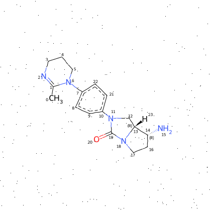 CC1=NCCCN1c1ccc(N2C[C@@H]3[C@H](N)CCN3C2=O)cc1